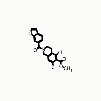 COC(=O)c1c(Cl)cc2c(c1Cl)CCN(C(=O)c1ccc3ccoc3c1)C2